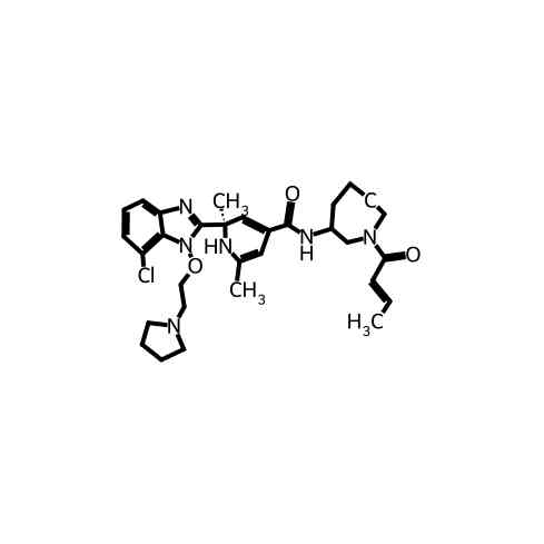 CC=CC(=O)N1CCCCC(NC(=O)C2=C[C@](C)(c3nc4cccc(Cl)c4n3OCCN3CCCC3)NC(C)=C2)C1